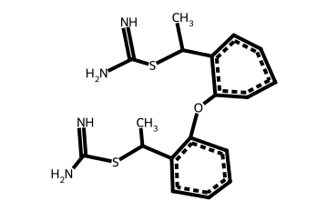 CC(SC(=N)N)c1ccccc1Oc1ccccc1C(C)SC(=N)N